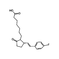 O=C(O)CCCCCCC1C(=O)CCC1/C=C/c1ccc(F)cc1